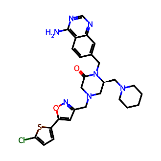 Nc1ncnc2cc(CN3C(=O)CN(Cc4cc(-c5ccc(Cl)s5)on4)C[C@@H]3CN3CCCCC3)ccc12